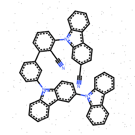 N#Cc1ccc2c3ccccc3n(-c3cccc(-c4cccc(-n5c6ccccc6c6cc(-n7c8ccccc8c8ccccc87)ccc65)c4)c3C#N)c2c1